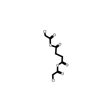 O=C(CCl)OC(=O)CCC(=O)OC(=O)CCl